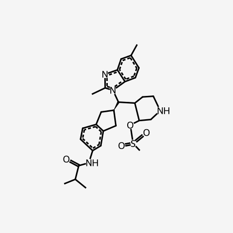 Cc1ccc2c(c1)nc(C)n2C(C1CCNCC1OS(C)(=O)=O)[C@@H]1Cc2ccc(NC(=O)C(C)C)cc2C1